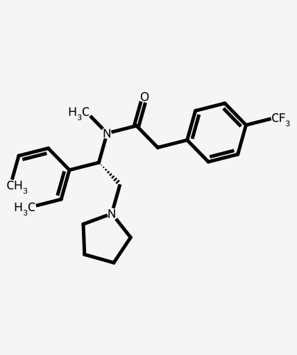 C/C=C\C(=C/C)[C@@H](CN1CCCC1)N(C)C(=O)Cc1ccc(C(F)(F)F)cc1